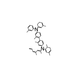 C=C/C=C(C)\C=C(/C)N(C1=CC(C)=CCC1C)c1ccc(-c2ccc(N(C3=CC(C)=CCC3)c3cccc(C)c3)cc2C)c(C)c1